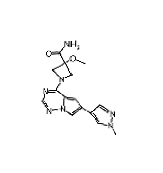 COC1(C(N)=O)CN(c2ncnn3cc(-c4cnn(C)c4)cc23)C1